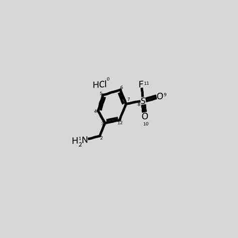 Cl.NCc1cccc(S(=O)(=O)F)c1